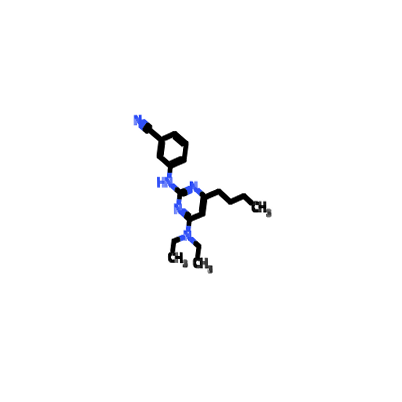 CCCCc1cc(N(CC)CC)nc(Nc2cccc(C#N)c2)n1